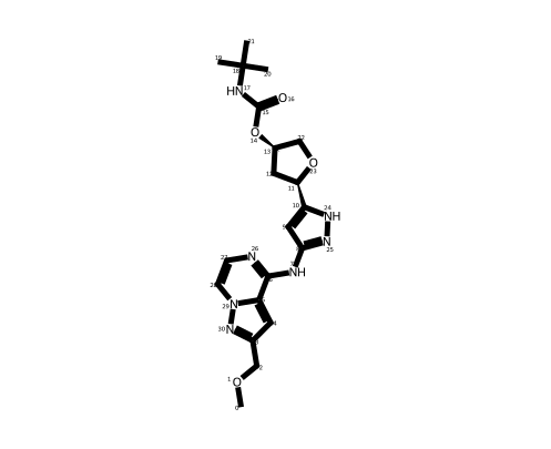 COCc1cc2c(Nc3cc([C@H]4C[C@@H](OC(=O)NC(C)(C)C)CO4)[nH]n3)nccn2n1